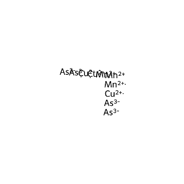 [As-3].[As-3].[As-3].[As-3].[Cu+2].[Cu+2].[Cu+2].[Mn+2].[Mn+2].[Mn+2]